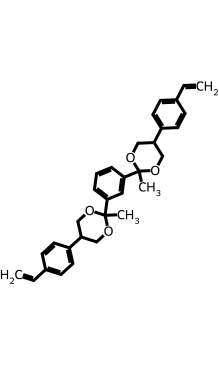 C=Cc1ccc(C2COC(C)(c3cccc(C4(C)OCC(c5ccc(C=C)cc5)CO4)c3)OC2)cc1